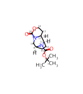 CC(C)(C)OC(=O)N1[C@H]2CC[C@@H]1[C@@H]1CCOC(=O)N1C2